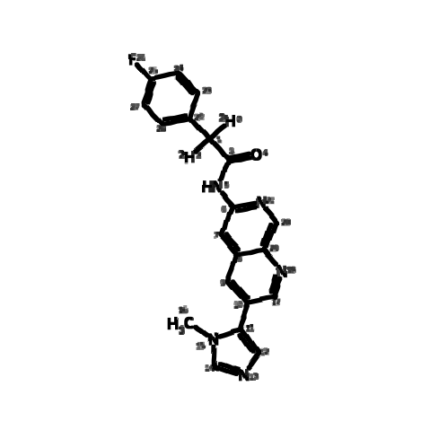 [2H]C([2H])(C(=O)Nc1cc2cc(-c3cncn3C)cnc2cn1)c1ccc(F)cc1